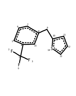 FC(F)(F)c1cccc(Cc2cccs2)c1